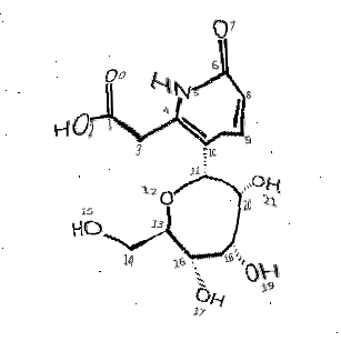 O=C(O)Cc1[nH]c(=O)ccc1[C@H]1O[C@H](CO)[C@@H](O)[C@@H](O)[C@H]1O